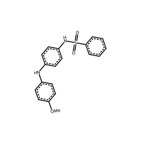 COc1ccc(Nc2ccc(NS(=O)(=O)c3ccccc3)cc2)cc1